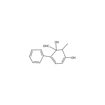 CC1C(O)=CC=C(c2ccccc2)C1(O)C=O